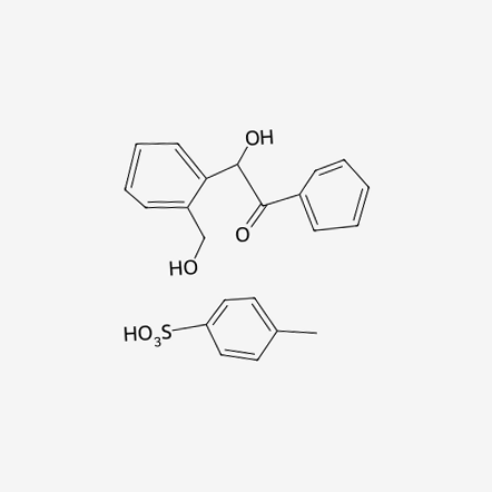 Cc1ccc(S(=O)(=O)O)cc1.O=C(c1ccccc1)C(O)c1ccccc1CO